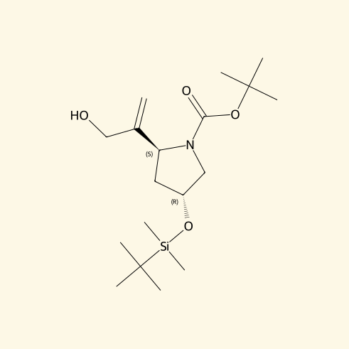 C=C(CO)[C@@H]1C[C@@H](O[Si](C)(C)C(C)(C)C)CN1C(=O)OC(C)(C)C